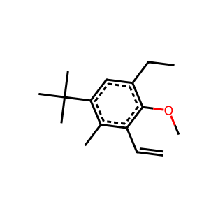 C=Cc1c(C)c(C(C)(C)C)cc(CC)c1OC